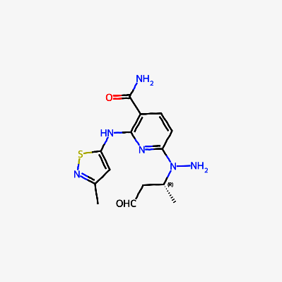 Cc1cc(Nc2nc(N(N)[C@H](C)CC=O)ccc2C(N)=O)sn1